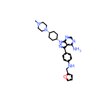 CN1CCN([C@H]2CC[C@@H](n3nc(-c4ccc(NCc5ccco5)cc4)c4c(N)ncnc43)CC2)CC1